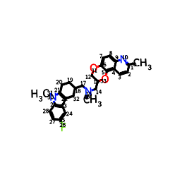 Cc1ccc2c3c(ccc2n1)OCC(CN(C)CC1CCc2c(c4cc(F)ccc4n2C)C1)O3